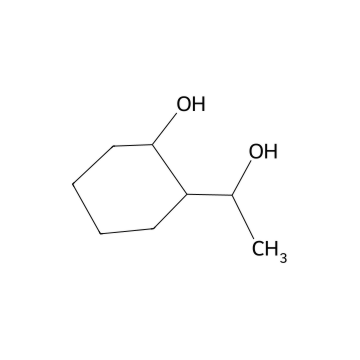 CC(O)C1CCCCC1O